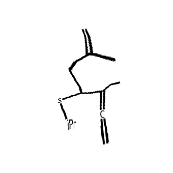 C=C=C(C)C(CC(=C)C)SC(C)C